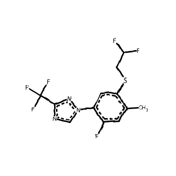 Cc1cc(F)c(-n2cnc(C(F)(F)F)n2)cc1SCC(F)F